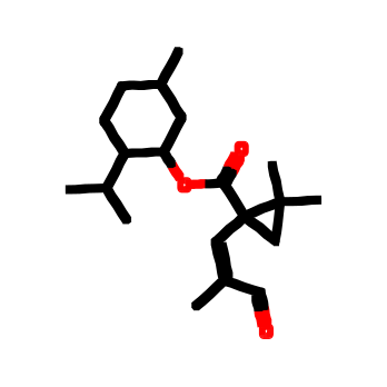 CC(C=O)=CC1(C(=O)OC2CC(C)CCC2C(C)C)CC1(C)C